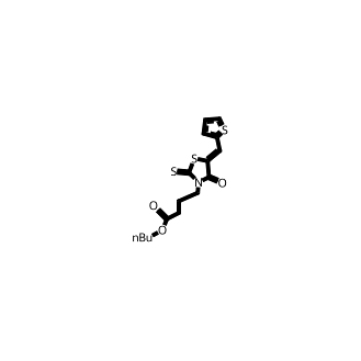 CCCCOC(=O)CCCN1C(=O)/C(=C/c2cccs2)SC1=S